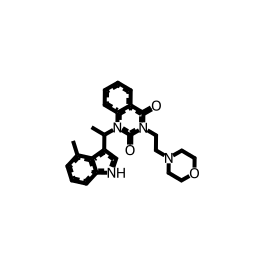 Cc1cccc2[nH]cc(C(C)n3c(=O)n(CCN4CCOCC4)c(=O)c4ccccc43)c12